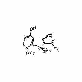 NN1CN=C(O)C=C1O.Nc1ccccc1O